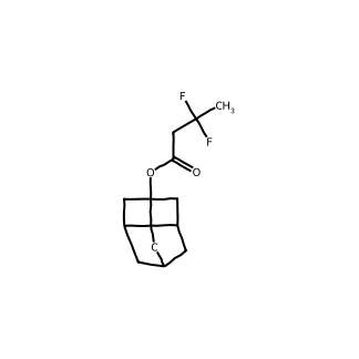 CC(F)(F)CC(=O)OC12CC3CC4CC(C1)C32C4